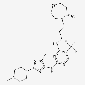 Cc1sc(C2CCN(C)CC2)nc1Nc1ncc(C(F)(F)F)c(NCCCN2CCOCCC2=O)n1